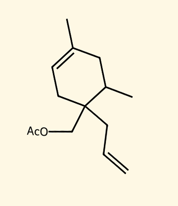 C=CCC1(COC(C)=O)CC=C(C)CC1C